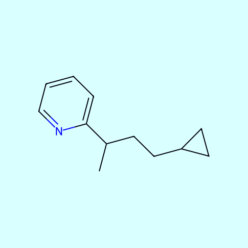 CC(CCC1CC1)c1ccccn1